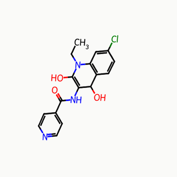 CCN1C(O)=C(NC(=O)c2ccncc2)C(O)c2ccc(Cl)cc21